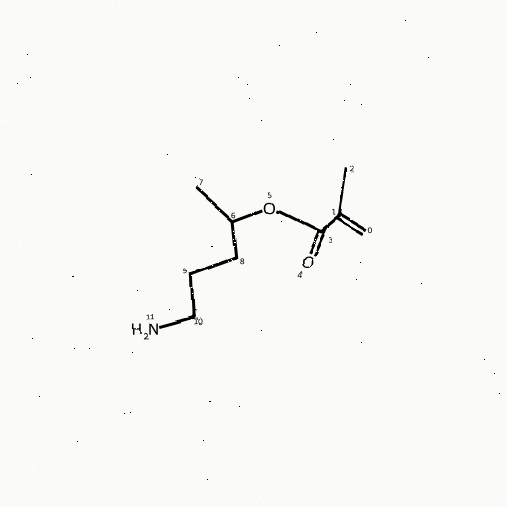 C=C(C)C(=O)OC(C)CCCN